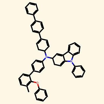 Cc1cccc(-c2ccc(N(C3C=CC(c4ccc(-c5ccccc5)cc4)=CC3)C3C=c4c(n(-c5ccccc5)c5ccccc45)=CC3)cc2)c1Oc1ccccc1